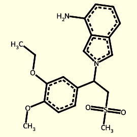 CCOc1cc(C(CS(C)(=O)=O)n2cc3cccc(N)c3c2)ccc1OC